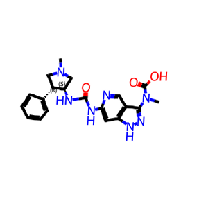 CN1C[C@@H](NC(=O)Nc2cc3[nH]nc(N(C)C(=O)O)c3cn2)[C@H](c2ccccc2)C1